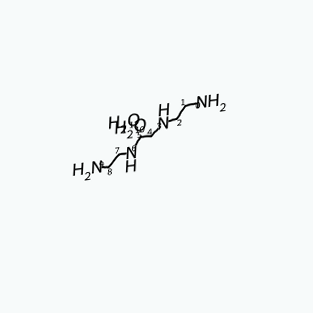 NCCNCCNCCN.O.O